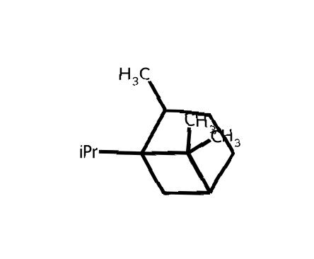 CC(C)C12CC(CCC1C)C2(C)C